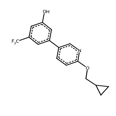 Oc1cc(-c2ccc(OCC3CC3)nc2)cc(C(F)(F)F)c1